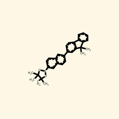 CC1(C)c2ccccc2-c2ccc(-c3ccc4cc(B5OC(C)(C)C(C)(C)O5)ccc4c3)cc21